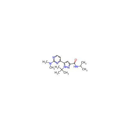 CC(C)NC(=O)c1cc(-c2ccnc(N(C)C)n2)n(C(C)(C)C)n1